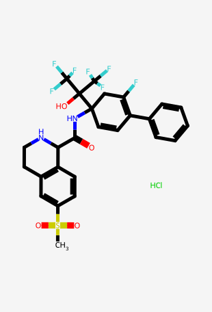 CS(=O)(=O)c1ccc2c(c1)CCNC2C(=O)NC1(C(O)(C(F)(F)F)C(F)(F)F)C=CC(c2ccccc2)=C(F)C1.Cl